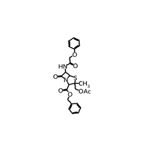 CC(=O)OCC1(C)SC2C(NC(=O)COc3ccccc3)C(=O)N2C1C(=O)OCc1ccccc1